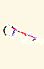 CC(=O)N(OCCOCCNC(=O)COCCOCCNC(=O)C1C[C@@H](C(=O)O)NC(=O)CCCCCCCCCCCCCCCCC1=O)[C@@H](CCC(=O)O)C(=O)O